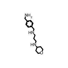 NCc1ccc(CNCCCNC2CCOCC2)cc1